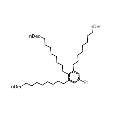 CCCCCCCCCCCCCCCCCCc1cc(CC)cc(CCCCCCCCCCCCCCCCCC)c1CCCCCCCCCCCCCCCCCC